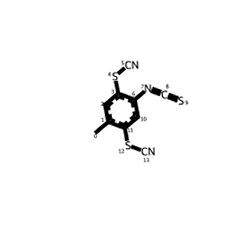 Cc1cc(SC#N)c(N=C=S)cc1SC#N